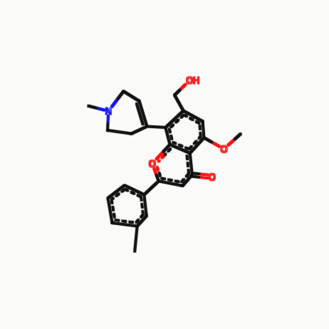 COc1cc(CO)c(C2=CCN(C)CC2)c2oc(-c3cccc(C)c3)cc(=O)c12